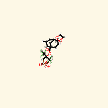 CC1CC2CC(C(=O)OC(CS(=O)(=O)O)(C(F)(F)F)C(F)(F)F)(CCC23OCCO3)C1